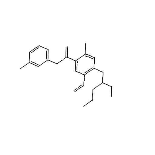 C=Cc1cc(C(=C)Cc2cccc(C)c2)c(C)cc1CC(CC)CCC